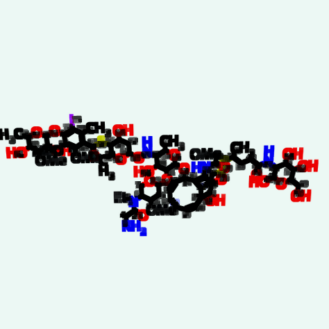 CCN(C(=O)CN)C1COC(OC2C(O[C@H]3C#C/C=C\C#C[C@]4(O)CC(=O)C(NC(=O)OC)=C3/C4=C\CSSC(C)CCC(=O)NC3C(O)OC(CO)C(O)C3O)OC(C)C(NOC3CC(O)C(SC(=O)c4c(C)c(I)c(OC5OC(C)C(O)C(OC)C5O)c(OC)c4OC)C(C)O3)C2O)CC1OC